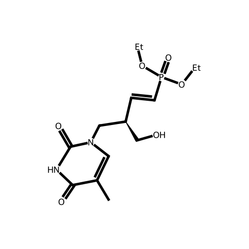 CCOP(=O)(/C=C/[C@@H](CO)Cn1cc(C)c(=O)[nH]c1=O)OCC